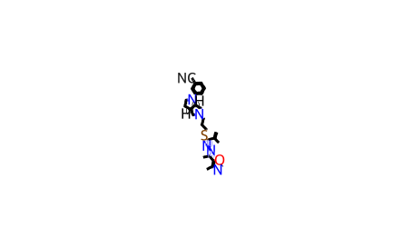 C=C(C)/C(=N\N=C(/C)c1ocnc1C)SCCCN1C[C@@H]2CCN(c3cccc(C#N)c3)[C@@H]2C1